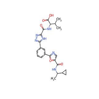 CC(C)C(NC(=O)c1nnc(-c2cccc(-c3ncc(C(=O)NC(C)C4CC4)o3)c2)[nH]1)C(=O)O